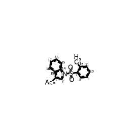 CC(=O)c1cn(S(=O)(=O)c2ccccc2C)c2ccccc12